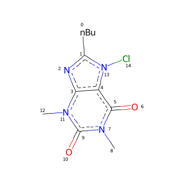 CCCCc1nc2c(c(=O)n(C)c(=O)n2C)n1Cl